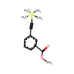 COC(=O)c1cccc(C#C[SH](C)(C)(C)C)c1